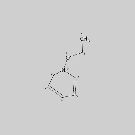 CCON1[C]=CC=CC1